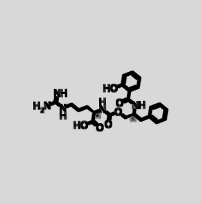 N=C(N)NCCC[C@@H](NC(=O)OC[C@H](Cc1ccccc1)NC(=O)c1ccccc1O)C(=O)O